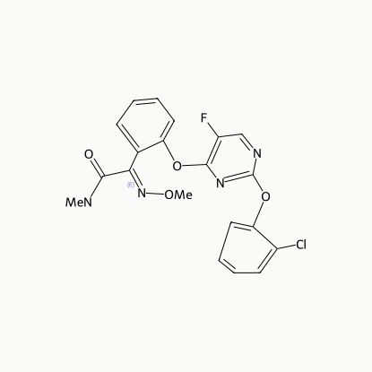 CNC(=O)/C(=N/OC)c1ccccc1Oc1nc(Oc2ccccc2Cl)ncc1F